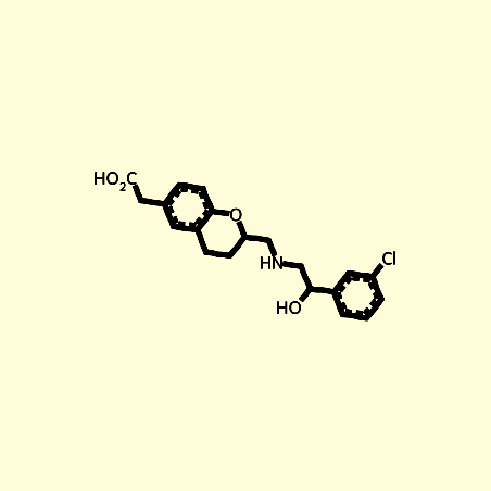 O=C(O)Cc1ccc2c(c1)CCC(CNCC(O)c1cccc(Cl)c1)O2